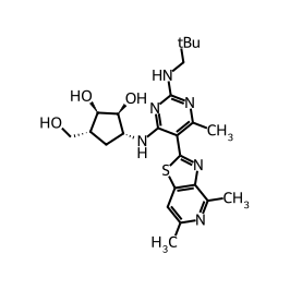 Cc1cc2sc(-c3c(C)nc(NCC(C)(C)C)nc3N[C@@H]3C[C@H](CO)[C@@H](O)[C@H]3O)nc2c(C)n1